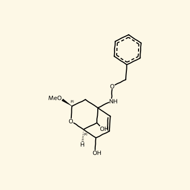 CO[C@H]1CC2(NOCc3ccccc3)C=CC(O)[C@@H](O1)C2O